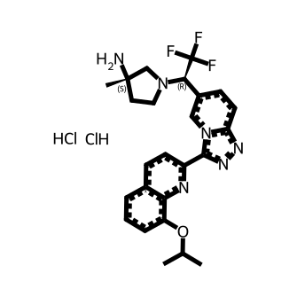 CC(C)Oc1cccc2ccc(-c3nnc4ccc([C@@H](N5CC[C@](C)(N)C5)C(F)(F)F)cn34)nc12.Cl.Cl